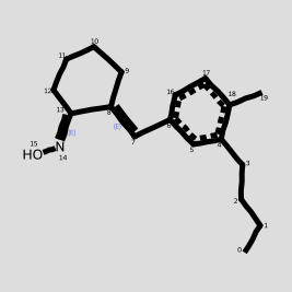 CCCCc1cc(/C=C2\CCCC\C2=N/O)ccc1C